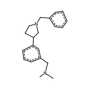 CN(C)Cc1cccc(C2CCN(Cc3ccccc3)C2)c1